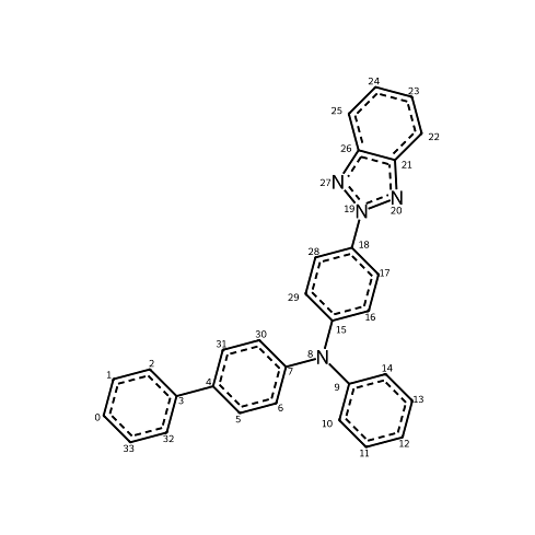 c1ccc(-c2ccc(N(c3ccccc3)c3ccc(-n4nc5ccccc5n4)cc3)cc2)cc1